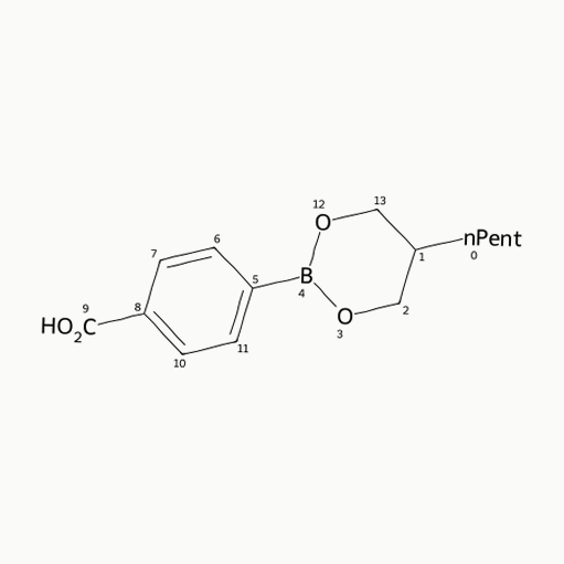 CCCCCC1COB(c2ccc(C(=O)O)cc2)OC1